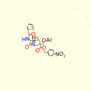 CC(=O)OCC1(C(=O)OCc2ccc([N+](=O)[O-])cc2)CS[C@@H]2C(NC(=O)Cc3cccs3)C(=O)N2C1